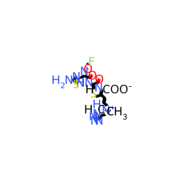 C[N+](C)(C/C=C/C1=C(C(=O)[O-])N2C(=O)[C@@H](NC(=O)/C(=N\OCF)c3nsc(N)n3)[C@@H]2SC1)Cc1nnn[nH]1